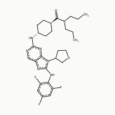 CCCN(CCC)C(=O)[C@H]1CC[C@H](Nc2ncc3nc(Nc4c(F)cc(F)cc4F)n(C4CCOC4)c3n2)CC1